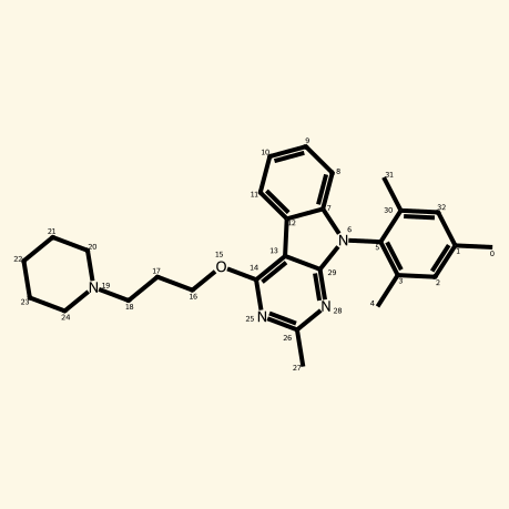 Cc1cc(C)c(-n2c3ccccc3c3c(OCCCN4CCCCC4)nc(C)nc32)c(C)c1